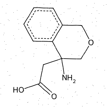 NC1(CC(=O)O)COCc2ccccc21